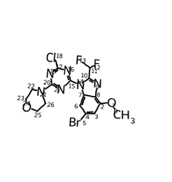 COc1cc(Br)cc2c1nc(C(F)F)n2-c1nc(Cl)nc(N2CCOCC2)n1